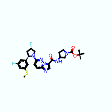 CSc1cc(F)cc([C@H]2C[C@H](F)CN2c2ccc3ncc(C(=O)NC4CCN(C(=O)OC(C)(C)C)C4)n3n2)c1